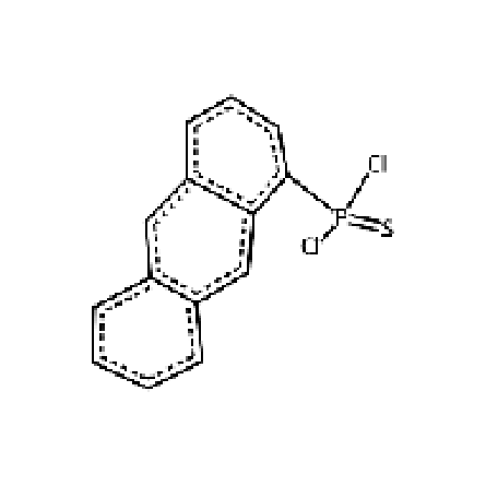 S=P(Cl)(Cl)c1cccc2cc3ccccc3cc12